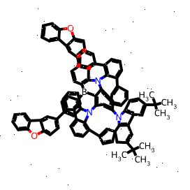 CC(C)(C)C1=Cc2c3n(c4ccc(C(C)(C)C)cc24)-c2cc4c5c(c2)N(c2c(-c6ccccc6)cccc2-c2ccccc2)c2cc(-c6ccc7oc8ccccc8c7c6)ccc2B5c2ccc(-c5ccc6oc7ccccc7c6c5)cc2N4c2c(cccc2-c2ccccc2)C2=CC3(C=C2)C1